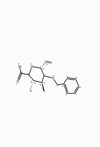 CCC(=O)C1O[C@H](OC)C(OCc2ccccc2)[C@@H](C)[C@@H]1C